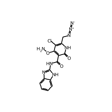 [N-]=[N+]=NCc1[nH]c(=O)c(C(=O)Nc2nc3ccccc3[nH]2)c(ON)c1Cl